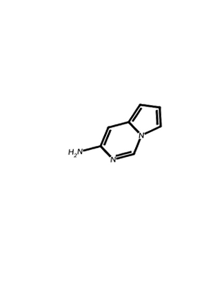 Nc1cc2cccn2cn1